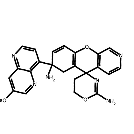 COc1cnc2c(C3(N)C=CC4=C(C3)C3(CCOC(N)=N3)c3ccncc3O4)ccnc2c1